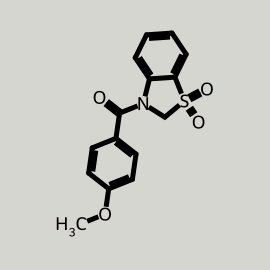 COc1ccc(C(=O)N2CS(=O)(=O)c3ccccc32)cc1